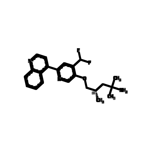 C[C@H](COc1cnc(-c2ccnc3ccccc23)cc1C(F)F)CC(C)(C)N